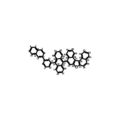 c1cc(-c2ccc3ccccc3c2)cc(-c2c3ccccc3c(-c3cc4oc5ccc6ccccc6c5c4c4ccccc34)c3ccccc23)c1